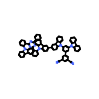 N#Cc1cc(C#N)cc(-c2cc(-n3c4ccccc4c4ccccc43)cc(-n3c4ccccc4c4cc(-c5ccc6c(c5)c5ccccc5n6-c5ccccc5-c5nc(-c6ccccc6)nc(-c6ccccc6-n6c7ccccc7c7ccccc76)n5)ccc43)c2)c1